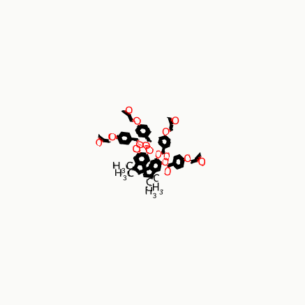 CC1(C)CC2(CC(C)(C)c3cc(OC(=O)c4ccc(OCC5CO5)cc4)c(OC(=O)c4ccc(OCC5CO5)cc4)cc32)c2cc(OOCc3ccc(OCC4CO4)cc3)c(OOCc3ccc(OCC4CO4)cc3)cc21